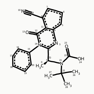 C[C@@H](c1nc2cccc(C#N)c2c(=O)n1-c1ccccc1)N(C(=O)O)C(C)(C)C